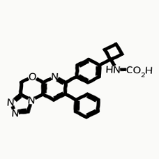 O=C(O)NC1(c2ccc(-c3nc4c(cc3-c3ccccc3)-n3cnnc3CO4)cc2)CCC1